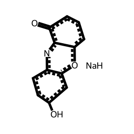 O=c1cccc2oc3cc(O)ccc3nc1-2.[NaH]